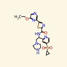 CCOc1cncc(-c2cnc(C(=O)NC(CN3CCNCC3)c3cc(S(=O)(=O)C4CC4)ccn3)s2)n1